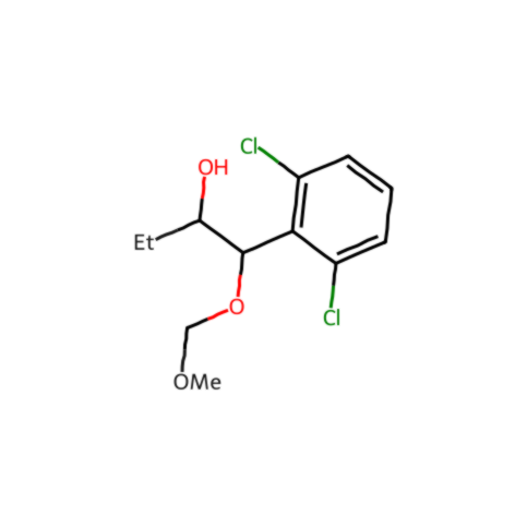 CCC(O)C(OCOC)c1c(Cl)cccc1Cl